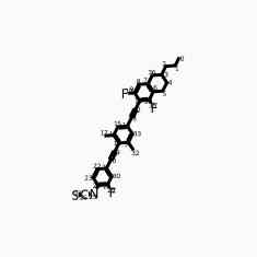 CCCC1CCc2c(cc(F)c(C#Cc3cc(C)c(C#Cc4ccc(N=C=S)c(F)c4)c(C)c3)c2F)C1